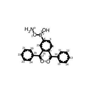 NOB(O)c1ccc(C(=O)c2ccccc2)c(C(=O)c2ccccc2)c1